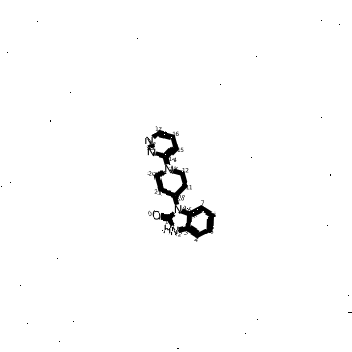 O=c1[nH]c2ccccc2n1C1CCN(c2cc[c]nn2)CC1